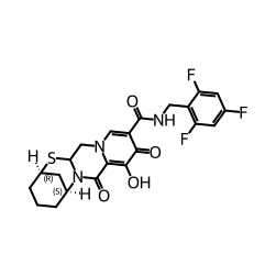 O=C(NCc1c(F)cc(F)cc1F)c1cn2c(c(O)c1=O)C(=O)N1C(C2)S[C@@H]2CCC[C@H]1C2